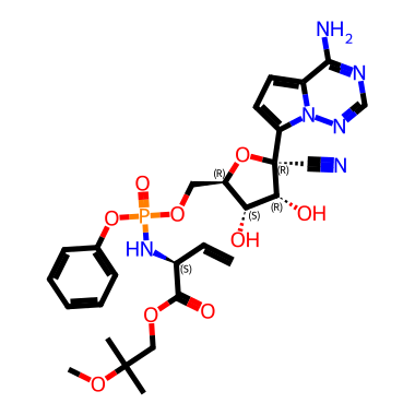 C=C[C@H](NP(=O)(OC[C@H]1O[C@@](C#N)(c2ccc3c(N)ncnn23)[C@H](O)[C@@H]1O)Oc1ccccc1)C(=O)OCC(C)(C)OC